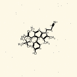 Cc1nc2c(c(C)c(C)n2CCC#N)c(-c2ccc(Cl)cc2)c1[C@@H](OC(C)(C)C)C(=O)O